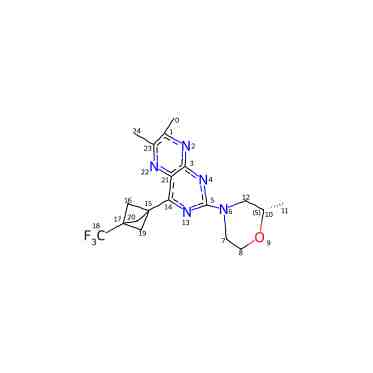 Cc1nc2nc(N3CCO[C@@H](C)C3)nc(C34CC(C(F)(F)F)(C3)C4)c2nc1C